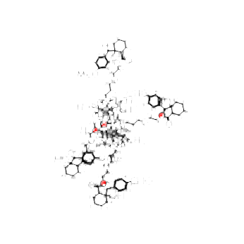 COc1ccc(C(=O)C2(O)CCCCC2C(=O)OCCOCCC[Si](C)(O[Si](C)(C)C)O[Si](C)(C)O[Si](C)(CCCOCCOC(=O)C2CCCCC2(O)C(=O)c2ccc(OC)cc2)O[Si](C)(C)O[Si](C)(CCCOCCOC(=O)C2CCCCC2(O)C(=O)c2ccc(C=O)cc2)O[Si](C)(C)O[Si](C)(CCCOCCOC(=O)C2CCCCC2(O)C(=O)c2ccc(C=O)cc2)O[Si](C)(C)O[Si](C)(C)C)cc1